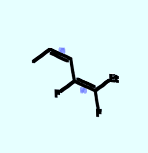 C/C=C\C(F)=C(\F)CC